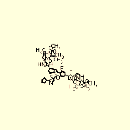 COC(=O)NC(C(=O)N1CCC[C@H]1C1NCC(c2cc(F)c3c(c2)OC(c2cnc(C4CCCC4)s2)n2c-3cc3cc(C4CNC([C@@H]5CC6C(C)C6N5C(=O)C(NC(=O)OC)C(C)C)N4)ccc32)N1)C(C)C